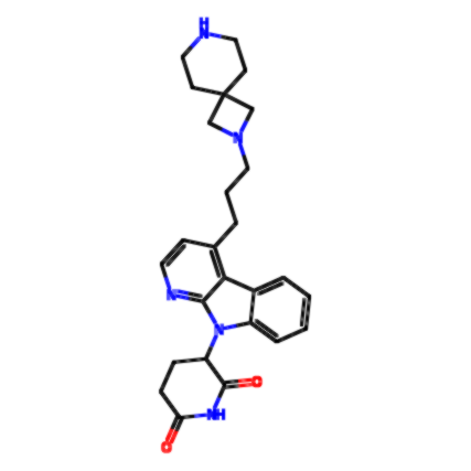 O=C1CCC(n2c3ccccc3c3c(CCCN4CC5(CCNCC5)C4)ccnc32)C(=O)N1